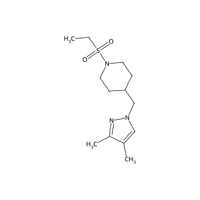 CCS(=O)(=O)N1CCC(Cn2cc(C)c(C)n2)CC1